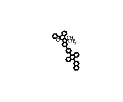 CC1(C)c2cc(-c3ccc(-c4c5ccccc5c(-c5ccc6ccccc6c5)c5ccccc45)cc3)ccc2-c2c1c1ccccc1c1c2oc2ccccc21